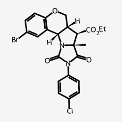 CCOC(=O)[C@@H]1[C@H]2COc3ccc(Br)cc3[C@H]2N2C(=O)N(c3ccc(Cl)cc3)C(=O)[C@@]12C